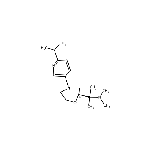 CC(C)c1ccc(N2CCO[C@H](C(C)(C)N(C)C)C2)cn1